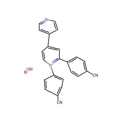 Br.N#Cc1ccc(-c2cc(-c3ccncc3)cc[n+]2-c2ccc(C#N)cc2)cc1.[Br-]